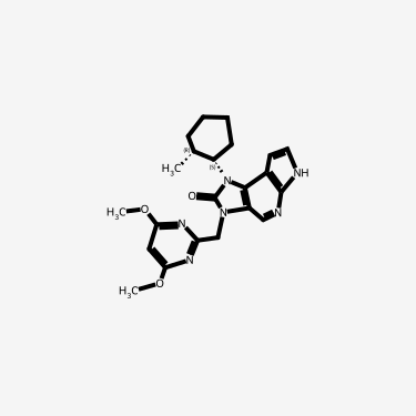 COc1cc(OC)nc(Cn2c(=O)n([C@H]3CCCC[C@H]3C)c3c4cc[nH]c4ncc32)n1